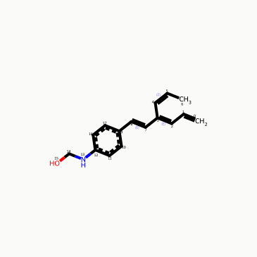 C=C/C=C(\C=C/C)/C=C/c1ccc(NCO)cc1